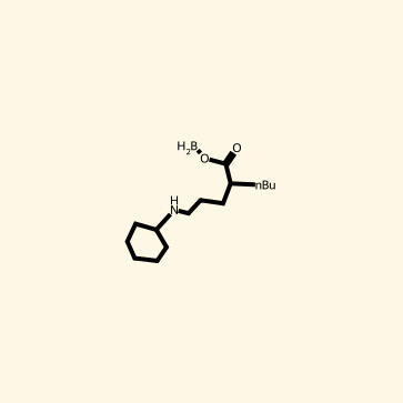 BOC(=O)C(CCCC)CCCNC1CCCCC1